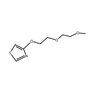 COCCOCCOc1cscn1